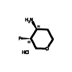 Cl.N[C@H]1CCOC[C@@H]1F